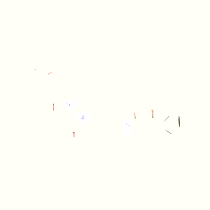 O=C(O)CC[C@H](NCN[C@@H](CCCCNC(=O)OC(=O)c1ccccc1)C(=O)O)C(=O)O